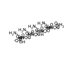 COc1ccc(NC(=O)[C@H](CCCCN)NC(=O)c2cc(NC(=O)[C@H](CCCCN)NC(=O)c3cc(NC(=O)[C@H](CCCCN)NC(=O)c4cc(NC(=O)[C@H](CCCCN)NC(=O)c5ccccc5C(=O)O)ccc4OC)ccc3OC)ccc2OC)cc1C(N)=O